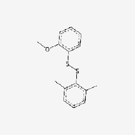 COc1ccccc1SSc1c(C)cccc1C